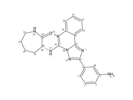 Nc1cccc(-c2nc3c4ccccc4nc(N[C@@H]4CCCCNC4=O)n3n2)c1